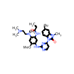 C=CC(=O)Nc1cc(Nc2nccc(-n3c(=O)n(C)c4cc(C(C)CC)ccc43)n2)c(OC)cc1N(C)CCN(C)C